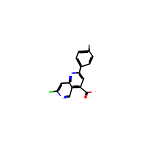 O=C(O)c1cc(-c2ccc(Br)cc2)nc2cc(Cl)ncc12